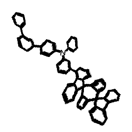 c1ccc(-c2cccc(-c3ccc(N(c4ccccc4)c4cccc(-c5cccc6c5-c5ccccc5C65c6ccccc6C6(c7ccccc7-c7ccccc76)c6ccccc65)c4)cc3)c2)cc1